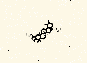 CC1CC[C@]2(C(=O)O)CC[C@]3(C)C(=CCC4[C@@]5(C)Cc6c(n[nH]c6N)C(C)(C)C5CC[C@]43C)C2C1C